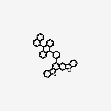 C1=C(c2c3ccccc3c(-c3cccc4ccccc34)c3ccccc23)CCC=C1c1cc2c3ccccc3sc2c2cc3oc4ccccc4c3cc12